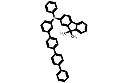 CC1(C)c2ccccc2-c2ccc(N(c3ccccc3)c3cccc(-c4ccc(-c5ccc(-c6ccccc6)cc5)cc4)c3)cc21